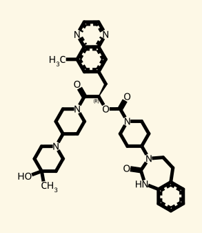 Cc1cc(C[C@@H](OC(=O)N2CCC(N3CCc4ccccc4NC3=O)CC2)C(=O)N2CCC(N3CCC(C)(O)CC3)CC2)cc2nccnc12